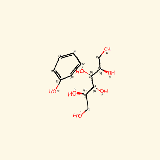 OC[C@@H](O)[C@@H](O)[C@H](O)[C@H](O)CO.Oc1ccccc1